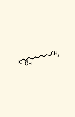 CCCCCCCCC[C@H](O)CO